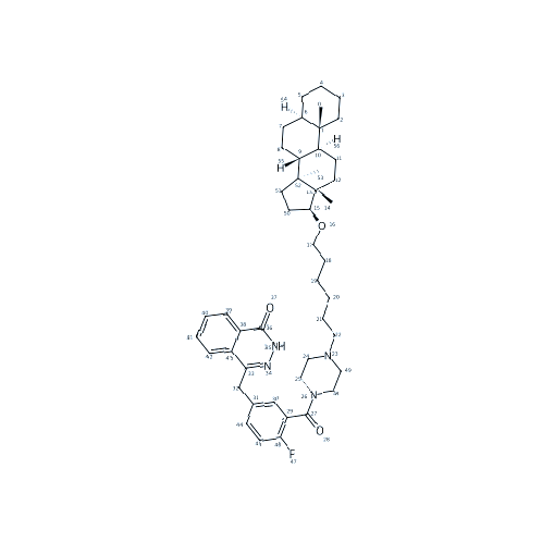 C[C@]12CCCC[C@@H]1CC[C@@H]1[C@@H]2CC[C@]2(C)[C@@H](OCCCCCCN3CCN(C(=O)c4cc(Cc5n[nH]c(=O)c6ccccc56)ccc4F)CC3)CC[C@@]12C